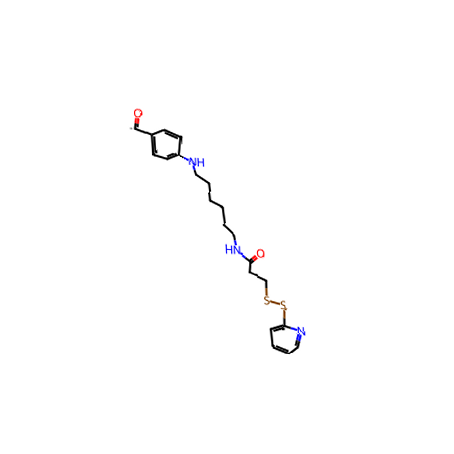 O=[C]c1ccc(NCCCCCCNC(=O)CCSSc2ccccn2)cc1